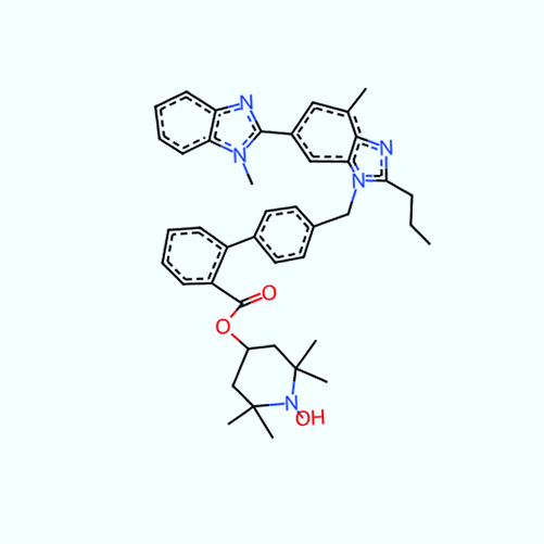 CCCc1nc2c(C)cc(-c3nc4ccccc4n3C)cc2n1Cc1ccc(-c2ccccc2C(=O)OC2CC(C)(C)N(O)C(C)(C)C2)cc1